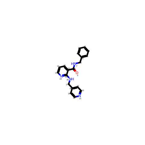 O=C(NCc1ccccc1)c1cccnc1NCc1ccncc1